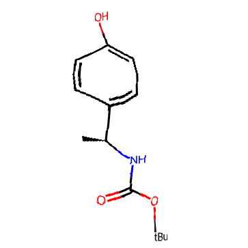 C[C@H](NC(=O)OC(C)(C)C)c1ccc(O)cc1